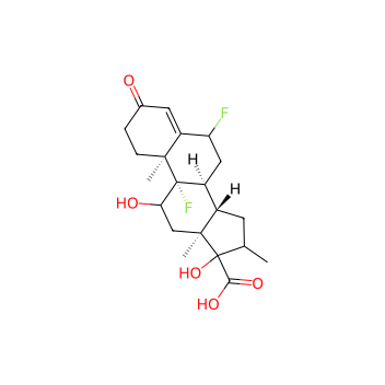 CC1C[C@H]2[C@@H]3CC(F)C4=CC(=O)CC[C@]4(C)[C@]3(F)C(O)C[C@]2(C)C1(O)C(=O)O